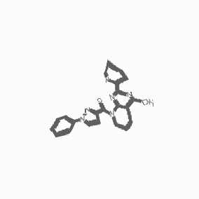 O=C(c1ccn(-c2ccccc2)n1)N1CCCc2c(O)nc(-c3ccccn3)nc21